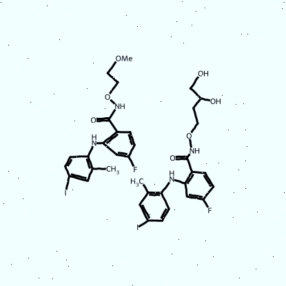 COCCONC(=O)c1ccc(F)cc1Nc1ccc(I)cc1C.Cc1cc(I)ccc1Nc1cc(F)ccc1C(=O)NOCCC(O)CO